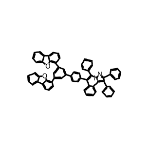 c1ccc(-c2nn3c(-c4ccccc4)c(-c4ccc(-c5cc(-c6cccc7c6oc6ccccc67)cc(-c6cccc7c6oc6ccccc67)c5)cc4)c4ccccc4c3c2-c2ccccc2)cc1